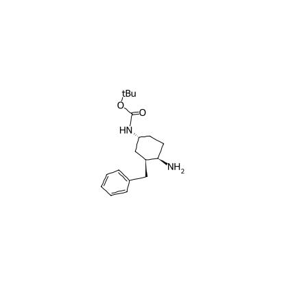 CC(C)(C)OC(=O)N[C@@H]1CC[C@@H](N)[C@@H](Cc2ccccc2)C1